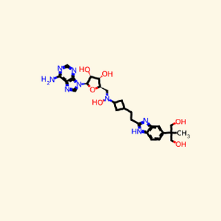 CC(CO)(CO)c1ccc2[nH]c(CCC3CC(N(O)C[C@H]4O[C@@H](n5cnc6c(N)ncnc65)[C@H](O)[C@@H]4O)C3)nc2c1